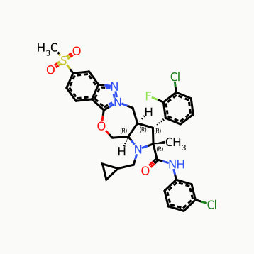 C[C@]1(C(=O)Nc2cccc(Cl)c2)[C@@H](c2cccc(Cl)c2F)[C@@H]2Cn3nc4cc(S(C)(=O)=O)ccc4c3OC[C@@H]2N1CC1CC1